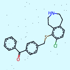 O=C(c1ccccc1)c1ccc(CSc2c(Cl)ccc3c2CCNCC3)cc1